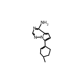 CC1CC=C(c2ccc3c(N)ncnn23)CC1